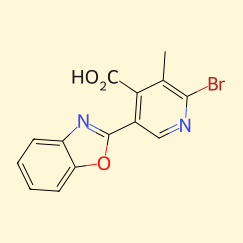 Cc1c(Br)ncc(-c2nc3ccccc3o2)c1C(=O)O